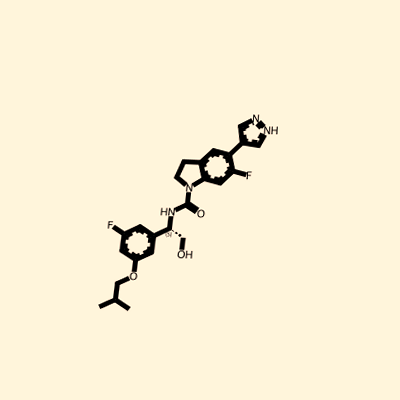 CC(C)COc1cc(F)cc([C@@H](CO)NC(=O)N2CCc3cc(-c4cn[nH]c4)c(F)cc32)c1